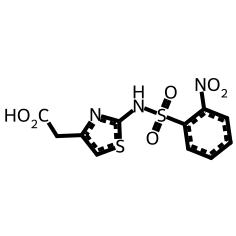 O=C(O)Cc1csc(NS(=O)(=O)c2ccccc2[N+](=O)[O-])n1